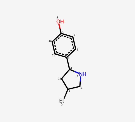 CCC1CNC(c2ccc(O)cc2)C1